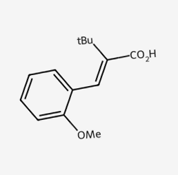 COc1ccccc1/C=C(/C(=O)O)C(C)(C)C